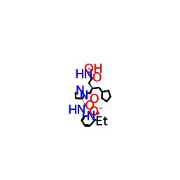 CCc1cccc(NC(=O)[C@@H]2CC=NN2C(=O)[C@@H](CC(=O)NO)CC2CCCC2)[n+]1[O-]